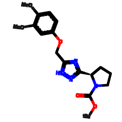 COc1ccc(OCc2nc([C@@H]3CCCN3C(=O)OC(C)(C)C)n[nH]2)cc1OC